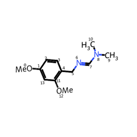 COc1ccc(C/N=C/N(C)C)c(OC)c1